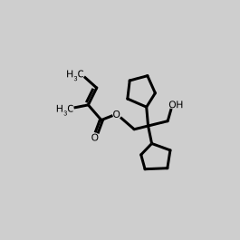 CC=C(C)C(=O)OCC(CO)(C1CCCC1)C1CCCC1